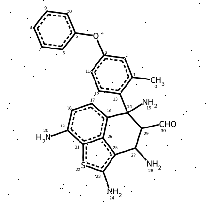 Cc1cc(Oc2ccccc2)ccc1C1(N)c2ccc(N)c3sc(N)c(c23)C(N)C1C=O